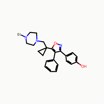 CCN1CCN(CC2(c3onc(-c4ccc(O)cc4)c3-c3ccccc3)CC2)CC1